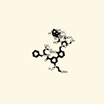 COCCN(C)c1cc(C(=O)N[C@@H](Cc2ccccc2)CN(C)C)cc(-c2cccc(CN3O[C@@H](CO)[C@@H]([C@H](C)O)[C@H]3C(O)N[C@H]3C[C@H]4C[C@@H]([C@@H]3C)C4(C)C)c2OC)c1